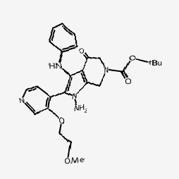 COCCOc1cnccc1-c1c(Nc2ccccc2)c2c(n1N)CN(C(=O)OC(C)(C)C)CC2=O